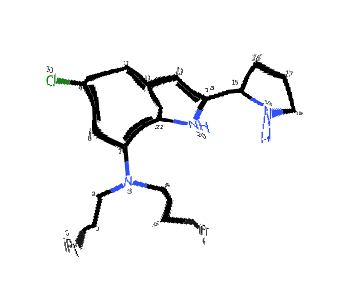 CC(C)CCN(CCC(C)C)c1cc(Cl)cc2cc(C3CCCN3)[nH]c12